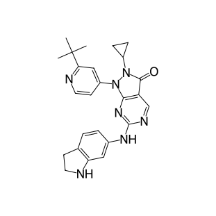 CC(C)(C)c1cc(-n2c3nc(Nc4ccc5c(c4)NCC5)ncc3c(=O)n2C2CC2)ccn1